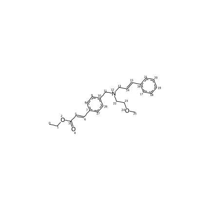 CCOC(=O)/C=C/c1ccc(CN(C/C=C/c2ccccc2)CCOC)cc1